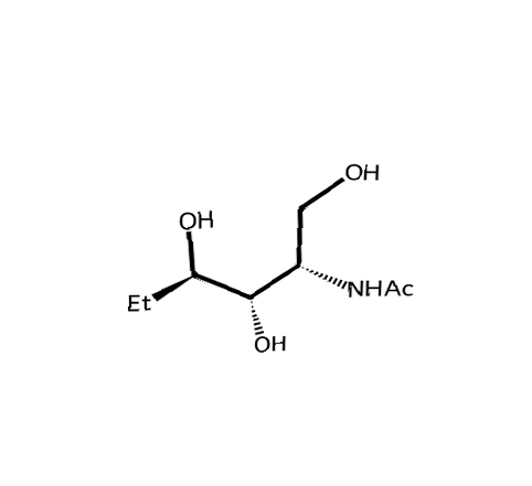 CC[C@@H](O)[C@@H](O)[C@H](CO)NC(C)=O